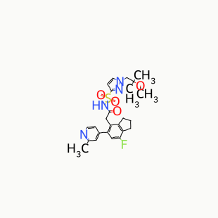 COC(C)(C)Cn1ccc(S(=O)(=O)NC(=O)Cc2c(-c3ccnc(C)c3)cc(F)c3c2CCC3)n1